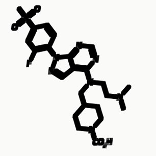 CN(C)CCN(CC1CCN(C(=O)O)CC1)c1ncnc2c1cnn2-c1ccc(S(C)(=O)=O)cc1F